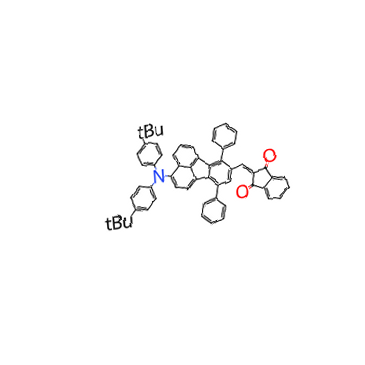 CC(C)(C)c1ccc(N(c2ccc(C(C)(C)C)cc2)c2ccc3c4c(cccc24)-c2c(-c4ccccc4)c(C=C4C(=O)c5ccccc5C4=O)cc(-c4ccccc4)c2-3)cc1